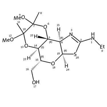 CCNC1=N[C@@H]2[C@H]3OC(C)(OC)C(C)(OC)O[C@@H]3[C@@H](CO)O[C@@H]2S1